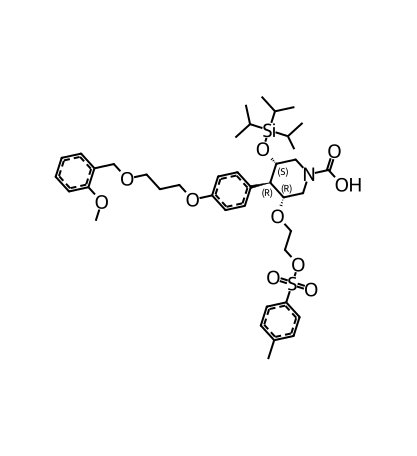 COc1ccccc1COCCCOc1ccc([C@@H]2[C@@H](OCCOS(=O)(=O)c3ccc(C)cc3)CN(C(=O)O)C[C@H]2O[Si](C(C)C)(C(C)C)C(C)C)cc1